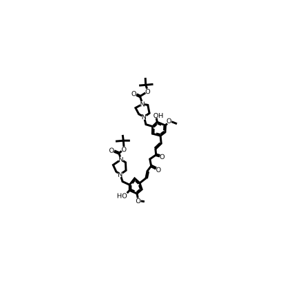 COc1cc(C=CC(=O)CC(=O)C=Cc2cc(CN3CCN(C(=O)OC(C)(C)C)CC3)c(O)c(OC)c2)cc(CN2CCN(C(=O)OC(C)(C)C)CC2)c1O